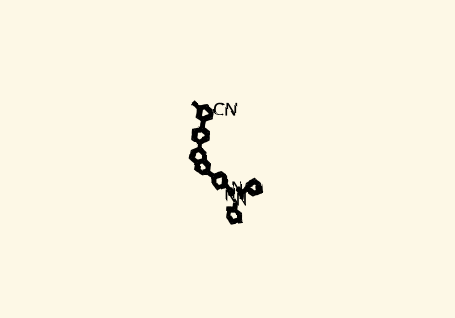 Cc1cc(C#N)cc(-c2ccc(-c3ccc4ccc(-c5ccc(-c6nc(-c7ccccc7)nc(-c7ccccc7)n6)cc5)cc4c3)cc2)c1